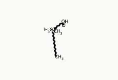 CCCCCCCCCCCCCC[N+](C)(C)CCCCCC(=O)O